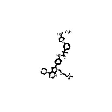 CC(C)(C(=O)Nc1ccc(-c2cc3c(N4CCOCC4)ncnc3n2COCC[Si](C)(C)C)cc1)c1cccc(N2CCC(NC(=O)O)C2)c1